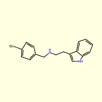 CC(C)(C)c1ccc(CNCCc2c[nH]c3ccccc23)cc1